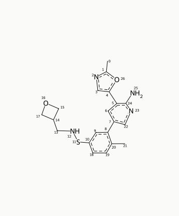 Cc1ncc(-c2cc(-c3cc(SNCC4COC4)ccc3C)cnc2N)o1